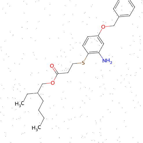 CCCCC(CC)COC(=O)CCSc1ccc(OCc2ccccc2)cc1N